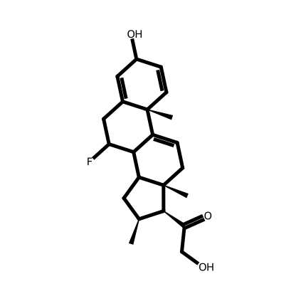 C[C@H]1CC2C3C(=CC[C@]2(C)[C@H]1C(=O)CO)[C@@]1(C)C=CC(O)C=C1CC3F